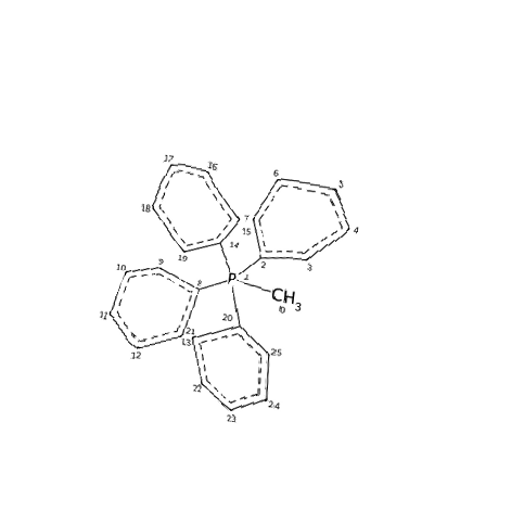 CP(c1ccccc1)(c1ccccc1)(c1ccccc1)c1ccccc1